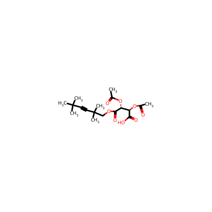 CC(=O)O[C@@H](C(=O)O)[C@@H](OC(C)=O)C(=O)OCC(C)(C)C#CC(C)(C)C